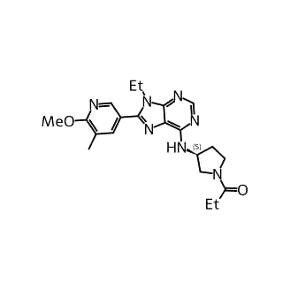 CCC(=O)N1CC[C@H](Nc2ncnc3c2nc(-c2cnc(OC)c(C)c2)n3CC)C1